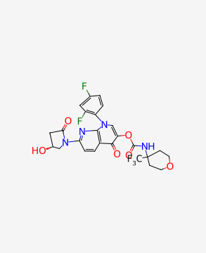 O=C(NC1(C(F)(F)F)CCOCC1)Oc1cn(-c2ccc(F)cc2F)c2nc(N3C[C@@H](O)CC3=O)ccc2c1=O